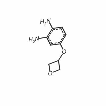 Nc1ccc(OC2COC2)cc1N